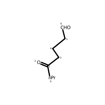 CCCC(=O)[CH]CCC=O